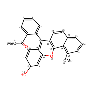 COC(=O)c1ccccc1C1=C2C=CC(O)C=C2Oc2c1ccc1cccc(OC)c21